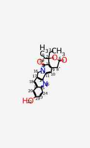 CCC1(CC)OC(=O)[CH]c2cc3n(c(=O)c21)Cc1cc2cc(O)ccc2nc1-3